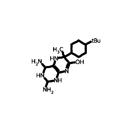 CC(C)(C)C1CCC(C2(C)NC3=C(N=C2O)NC(N)NC3N)CC1